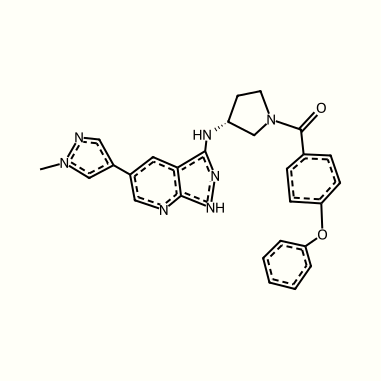 Cn1cc(-c2cnc3[nH]nc(N[C@@H]4CCN(C(=O)c5ccc(Oc6ccccc6)cc5)C4)c3c2)cn1